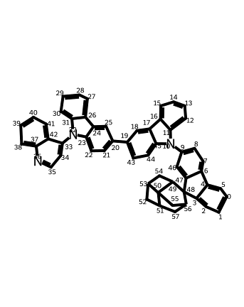 c1ccc2c(c1)-c1ccc(-n3c4ccccc4c4cc(-c5ccc6c(c5)c5ccccc5n6-c5ccnc6ccccc56)ccc43)cc1C21C2CC3CC(C2)CC1C3